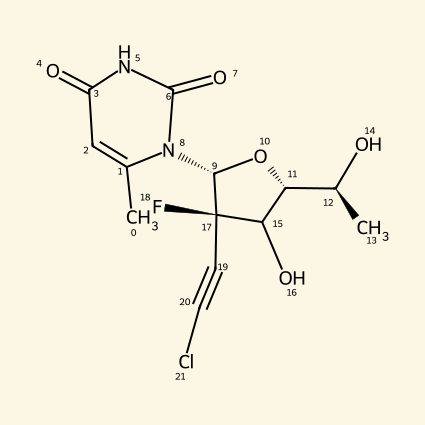 Cc1cc(=O)[nH]c(=O)n1[C@@H]1O[C@H]([C@H](C)O)C(O)[C@]1(F)C#CCl